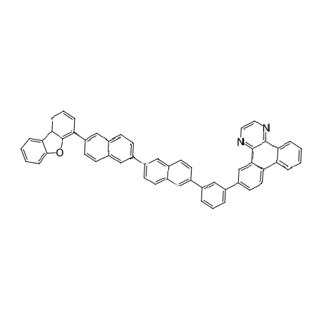 C1=CC(c2ccc3cc(-c4ccc5cc(-c6cccc(-c7ccc8c9ccccc9c9nccnc9c8c7)c6)ccc5c4)ccc3c2)=C2Oc3ccccc3C2C1